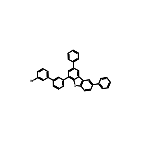 Brc1cccc(-c2cccc(-c3cc(-c4ccccc4)cc4c3sc3ccc(-c5ccccc5)cc34)c2)c1